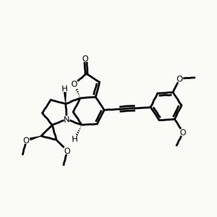 COc1cc(C#CC2=C[C@@H]3C[C@@]4(OC(=O)C=C24)[C@H]2CCC4(C(OC)[C@H]4OC)N32)cc(OC)c1